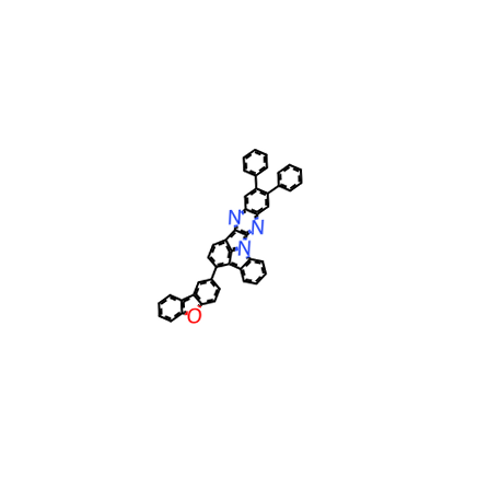 c1ccc(-c2cc3nc4c5ccc(-c6ccc7oc8ccccc8c7c6)c6c7ccccc7n(c4nc3cc2-c2ccccc2)c56)cc1